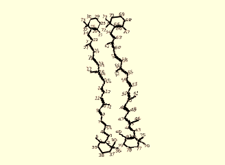 CC1=C(/C=C/C(C)=C/C=C/C(C)=C/C=C/C=C(C)/C=C/C=C(C)/C=C/C2=C(C)CCCC2(C)C)C(C)(C)CCC1.CC1=C(/C=C/C(C)=C/C=C/C(C)=C/C=C/C=C(C)/C=C/C=C(C)/C=C/C2=C(C)CCCC2(C)C)C(C)(C)CCC1